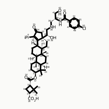 CC(C)C1=C2[C@H]3CC[C@@H]4[C@@]5(C)CC[C@H](OC(=O)[C@H]6C[C@@H](C(=O)O)C6(C)C)C(C)(C)[C@@H]5CC[C@@]4(C)[C@]3(C)CC[C@@]2([C@@H](O)CNC[C@H](CO)NC(=O)c2ccc(Cl)cc2)CC1=O